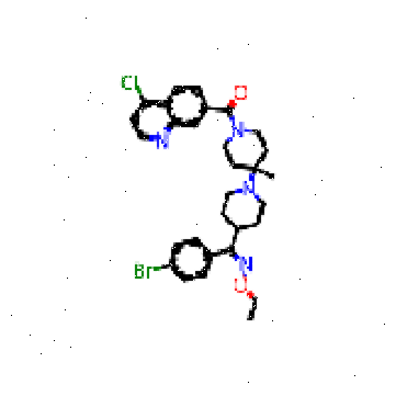 CCO/N=C(\c1ccc(Br)cc1)C1CCN(C2(C)CCN(C(=O)c3ccc4c(Cl)ccnc4c3)CC2)CC1